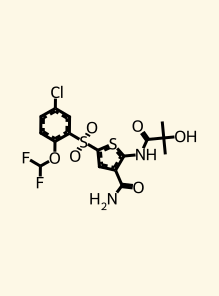 CC(C)(O)C(=O)Nc1sc(S(=O)(=O)c2cc(Cl)ccc2OC(F)F)cc1C(N)=O